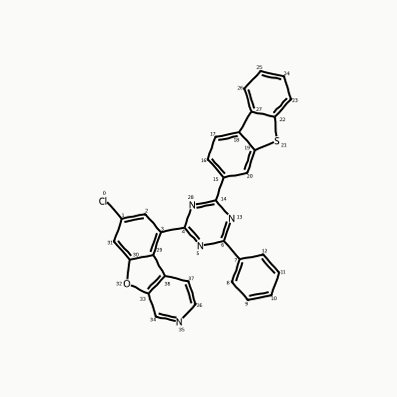 Clc1cc(-c2nc(-c3ccccc3)nc(-c3ccc4c(c3)sc3ccccc34)n2)c2c(c1)oc1cnccc12